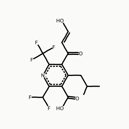 CC(C)Cc1c(C(=O)O)c(C(F)F)nc(C(F)(F)F)c1C(=O)C=CO